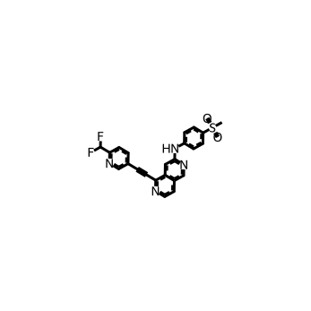 CS(=O)(=O)c1ccc(Nc2cc3c(C#Cc4ccc(C(F)F)nc4)nccc3cn2)cc1